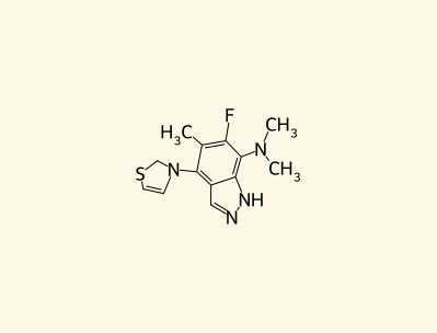 Cc1c(F)c(N(C)C)c2[nH]ncc2c1N1C=CSC1